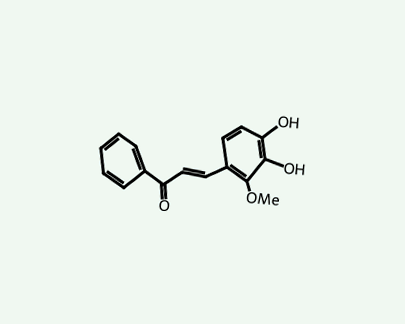 COc1c(C=CC(=O)c2ccccc2)ccc(O)c1O